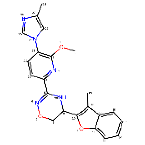 COc1nc(C2=NOCC(c3oc4ccccc4c3C)N2)ccc1-n1cnc(C)c1